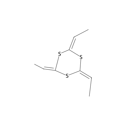 CC=C1SC(=CC)SC(=CC)S1